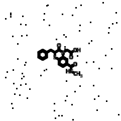 CNC(=O)c1ccc2c(c1)N(CC(=O)O)C(=O)C(Cc1ccccc1)S2